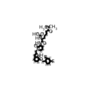 CN(C)C(=O)/C=C/CCC(NC(=O)O)C(=O)Nc1cccn(Cc2cc3cccc(OCc4ccc(F)cc4F)c3[nH]2)c1=O